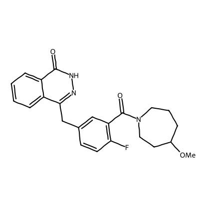 COC1CCCN(C(=O)c2cc(Cc3n[nH]c(=O)c4ccccc34)ccc2F)CC1